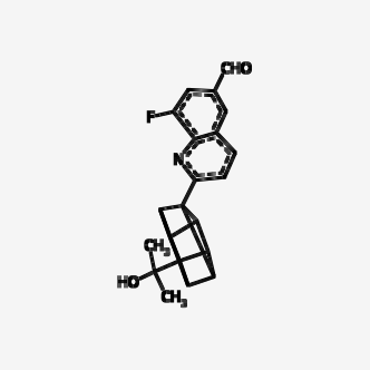 CC(C)(O)C12C3C4C1C1C2C3C41c1ccc2cc(C=O)cc(F)c2n1